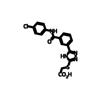 O=C(O)CSc1nnc(-c2cccc(C(=O)Nc3ccc(Cl)cc3)c2)[nH]1